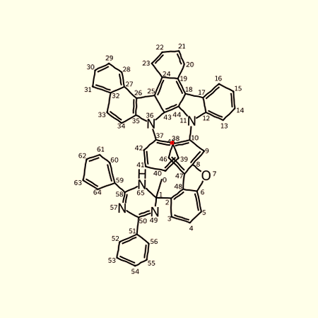 CC1(c2cccc3oc4cc(-n5c6ccccc6c6c7ccccc7c7c8c9ccccc9ccc8n(-c8ccccc8)c7c65)ccc4c23)N=C(c2ccccc2)N=C(c2ccccc2)N1